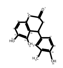 Cc1cc(C2CC(=O)Oc3ccc(O)c(C)c32)ccc1O